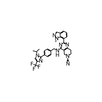 CC(C)n1cc(C(F)(F)F)nc1-c1ccc(CNc2nc(-c3cccc4cnn(C)c34)nc3c2CN(C#N)CC3)cc1